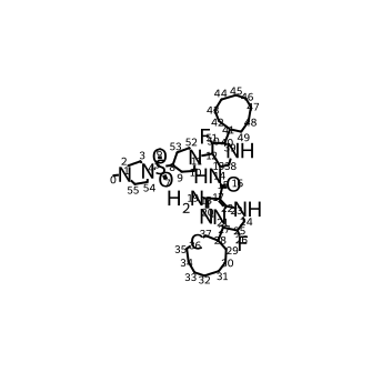 CN1CCN(S(=O)(=O)C2CCN(C3C(NC(=O)c4c(N)nn5c4NCC(F)C5C4CCCCCCCCC4)CNC(C4CCCCCCCC4)C3F)CC2)CC1